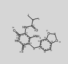 CC(C)C(=O)Nc1c(N)n(Cc2ccc3c(c2)OCO3)c(=S)[nH]c1=O